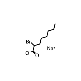 CCCCCCC(Br)C(=O)[O-].[Na+]